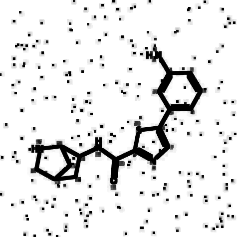 Nc1cccc(-c2cnc(C(=O)NC3CC4CNC3C4)s2)c1